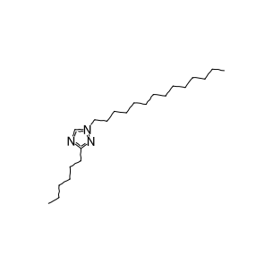 CCCCCCCCCCCCCCn1cnc(CCCCCC)n1